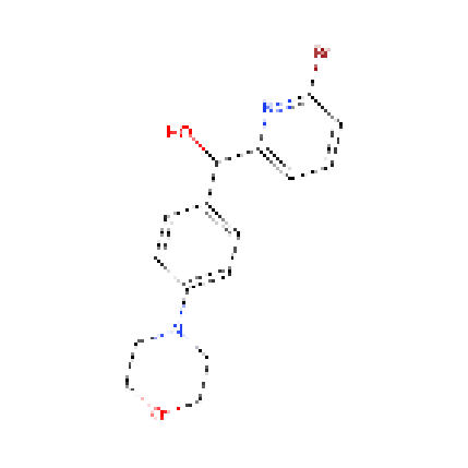 OC(c1ccc(N2CCOCC2)cc1)c1cccc(Br)n1